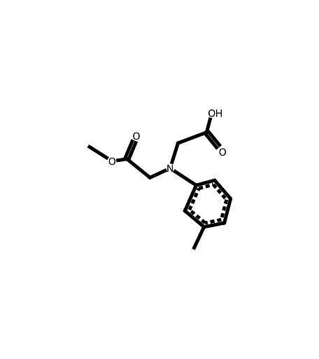 COC(=O)CN(CC(=O)O)c1cccc(C)c1